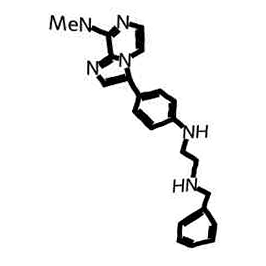 CNc1nccn2c(-c3ccc(NCCNCc4ccccc4)cc3)cnc12